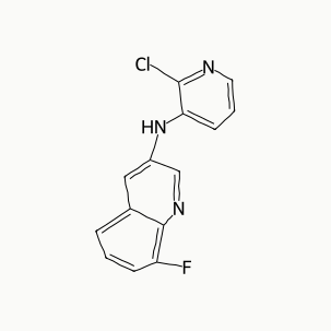 Fc1cccc2cc(Nc3cccnc3Cl)cnc12